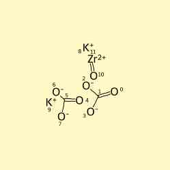 O=C([O-])[O-].O=C([O-])[O-].[K+].[K+].[O]=[Zr+2]